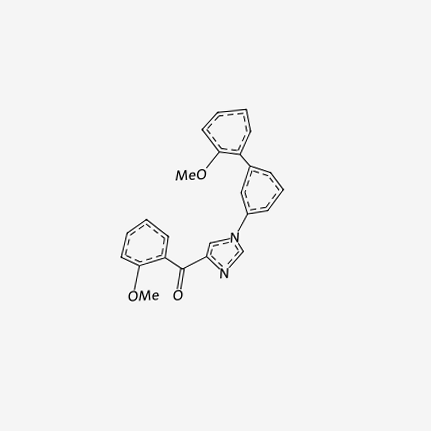 COc1ccccc1C(=O)c1cn(-c2cccc(-c3ccccc3OC)c2)cn1